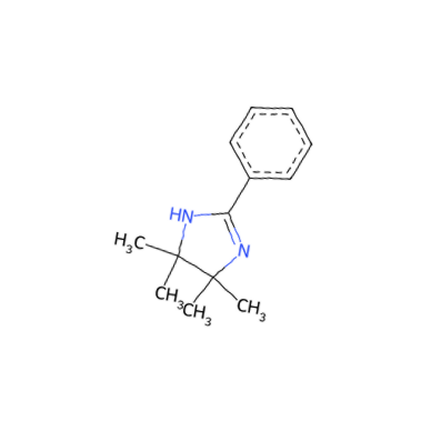 CC1(C)N=C(c2ccccc2)NC1(C)C